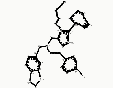 CCCCn1c(CN(CCc2ccc(I)cc2)Cc2ccc3c(c2)OCO3)cnc1-c1ccccc1